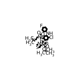 CN(C)CCNC(=O)Oc1cc(F)ccc1Nc1cc(F)c(S(=O)(=O)N(C(=O)OC(C)(C)C)c2cscn2)cc1Cl